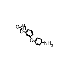 Nc1ccc(Oc2cccc(O[SH](=O)=O)c2)cc1